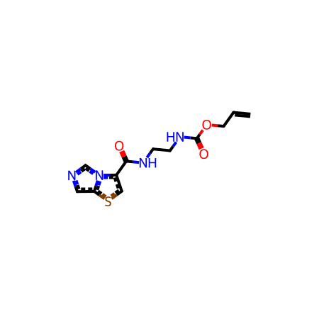 C=CCOC(=O)NCCNC(=O)c1csc2cncn12